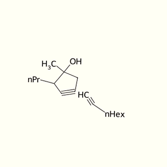 C#CCCCCCC.CCCC1C#CCC1(C)O